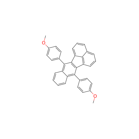 COc1ccc(-c2c3c(c(-c4ccc(OC)cc4)c4ccccc24)-c2cccc4cccc-3c24)cc1